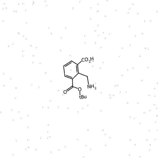 CC(C)(C)OC(=O)c1cccc(C(=O)O)c1CN